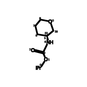 CC(C)OC(=O)N[C@H]1CCCOC1